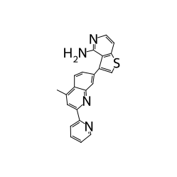 Cc1cc(-c2ccccn2)nc2cc(-c3csc4ccnc(N)c34)ccc12